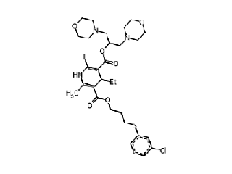 CCC1C(C(=O)OCCCSc2cccc(Cl)c2)=C(C)NC(I)=C1C(=O)OC(CN1CCOCC1)CN1CCOCC1